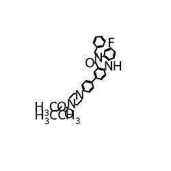 CC(C)(C)OC(=O)N1CCN(c2ccc(-c3ccc4c(c3)C(=O)N(Cc3ccccc3)c3cc(F)ccc3N4)cc2)CC1